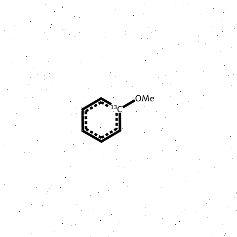 CO[13c]1ccccc1